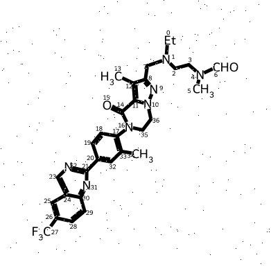 CCN(CCN(C)C=O)Cc1nn2c(c1C)C(=O)N(c1ccc(-c3ncc4cc(C(F)(F)F)ccc4n3)cc1C)CC2